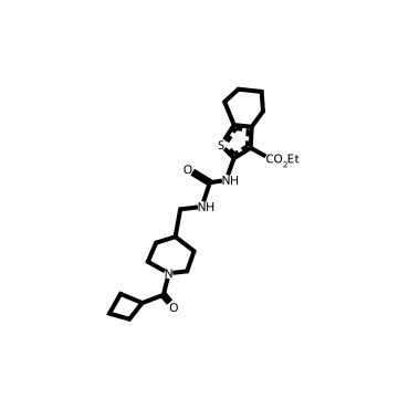 CCOC(=O)c1c(NC(=O)NCC2CCN(C(=O)C3CCC3)CC2)sc2c1CCCC2